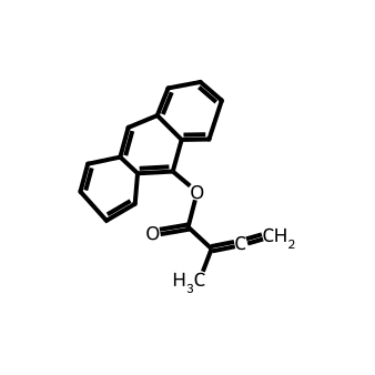 C=C=C(C)C(=O)Oc1c2ccccc2cc2ccccc12